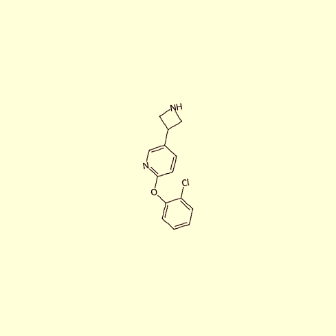 Clc1ccccc1Oc1ccc(C2CNC2)cn1